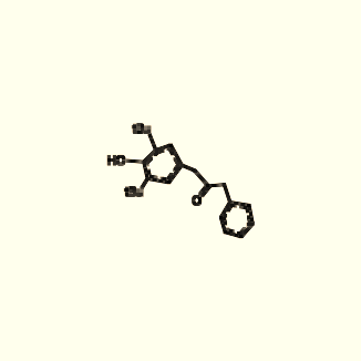 CC(C)(C)c1cc(CC(=O)Cc2ccccc2)cc(C(C)(C)C)c1O